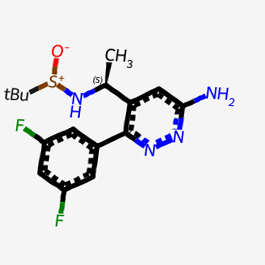 C[C@H](N[S+]([O-])C(C)(C)C)c1cc(N)nnc1-c1cc(F)cc(F)c1